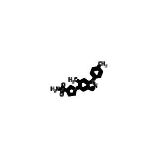 Cc1ccc(-n2ncc3cc(N4CCC(S(N)(=O)=O)C4)c(C)cc32)cc1